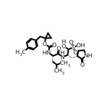 Cc1ccc(CC2(OC(=O)N[C@@H](CC(C)C)C(=O)N[C@@H](C[C@@H]3CCNC3=O)C(O)S(=O)(=O)O)CC2)cc1